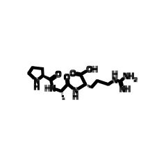 C[C@H](NC(=O)[C@@H]1CCCN1)C(=O)N[C@@H](CCCNC(=N)N)C(=O)O